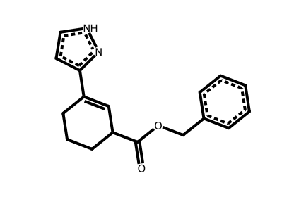 O=C(OCc1ccccc1)C1C=C(c2cc[nH]n2)CCC1